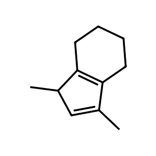 CC1=CC(C)C2=C1CCCC2